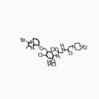 Cc1nc2c(OCc3c(Cl)ccc(N(C)C(=O)CNC(=O)CN4CC[S+]([O-])CC4)c3Cl)cccn2c1Br.Cl.Cl